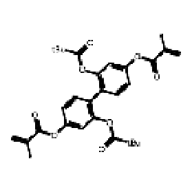 C=C(C)C(=O)Oc1ccc(-c2ccc(OC(=O)C(=C)C)cc2OC(=O)C(C)(C)C)c(OC(=O)C(C)(C)C)c1